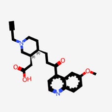 C#CCN1CC[C@@H](CCC(=O)c2ccnc3ccc(OC)cc23)[C@@H](CC(=O)O)C1